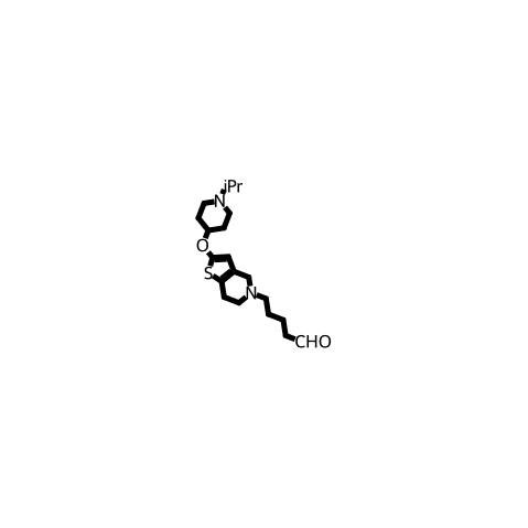 CC(C)N1CCC(Oc2cc3c(s2)CCN(CCCCC=O)C3)CC1